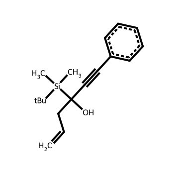 C=CCC(O)(C#Cc1ccccc1)[Si](C)(C)C(C)(C)C